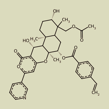 C=Cc1ccc(C(=O)O[C@H]2CC3C(C)(COC(C)=O)[C@@H](O)CC[C@]3(C)C3[C@@H](O)c4c(cc(-c5cccnc5)oc4=O)O[C@@]32C)cc1